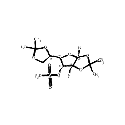 CC1(C)O[C@H]2O[C@H]([C@H]3COC(C)(C)O3)[C@H](OS(=O)(=O)C(F)(F)F)[C@H]2O1